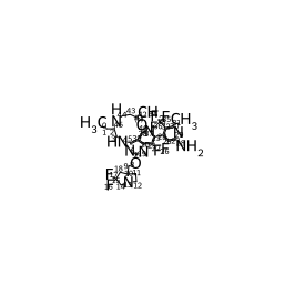 CCC1CNc2nc(OCC34CCN3CC(F)(F)C4)nc3c(F)c(-c4c(F)c(N)nc(C)c4C(F)(F)F)nc(c23)O[C@@H](C)CCN1